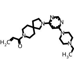 C=CC(=O)N1CCC2(CC1)CCN(c1cc(N3CCN(CC)CC3)ncn1)C2